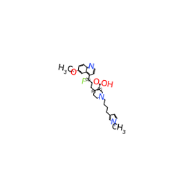 COc1ccc2nccc([C@@H](F)CC[C@@H]3CCN(CCCCc4ccn(C)c4)C[C@@H]3C(=O)O)c2c1